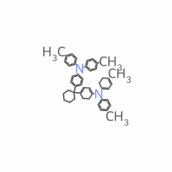 CC1=CC=C(N(C2=CC=C(C3(c4ccc(N(c5ccc(C)cc5)c5ccc(C)cc5)cc4)CCCCC3)CC2)c2ccc(C)cc2)CC1